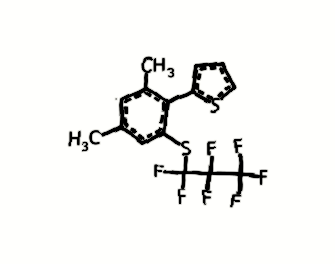 Cc1[c]c(C)c(-c2cccs2)c(SC(F)(F)C(F)(F)C(F)(F)F)c1